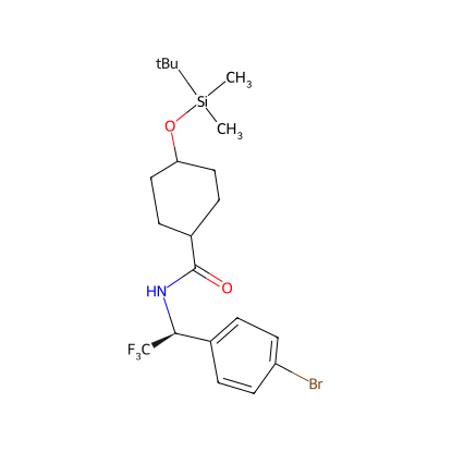 CC(C)(C)[Si](C)(C)OC1CCC(C(=O)N[C@@H](c2ccc(Br)cc2)C(F)(F)F)CC1